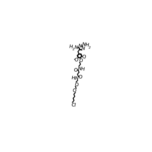 COc1cc(Cc2cnc(N)nc2N)cc(OC)c1OCCCNC(=O)CCC(=O)NCCOCCOCCCCCCCl